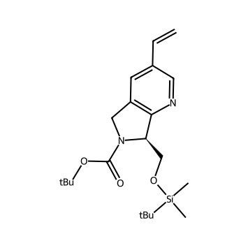 C=Cc1cnc2c(c1)CN(C(=O)OC(C)(C)C)[C@@H]2CO[Si](C)(C)C(C)(C)C